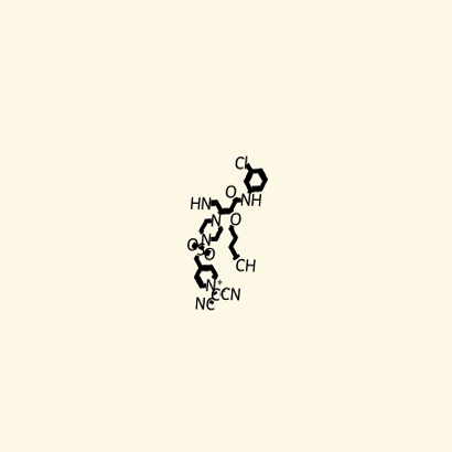 C#CCCCO/C(C(=O)Nc1cccc(Cl)c1)=C(/C=N)N1CCN(S(=O)(=O)Cc2cc[n+]([C-](C#N)C#N)cc2)CC1